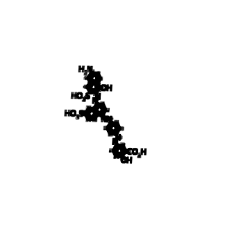 Nc1ccc2c(O)c(N=Nc3ccc(N=Nc4ccc(N=Nc5ccc(O)c(C(=O)O)c5)cc4)c4ccc(S(=O)(=O)O)cc34)c(S(=O)(=O)O)cc2c1